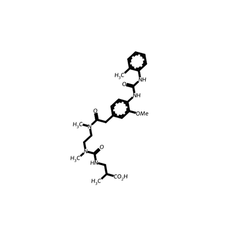 COc1cc(CC(=O)N(C)CCN(C)C(=O)NCC(C)C(=O)O)ccc1NC(=O)Nc1ccccc1C